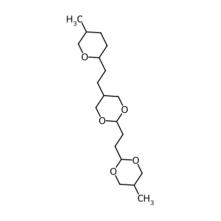 CC1CCC(CCC2COC(CCC3OCC(C)CO3)OC2)OC1